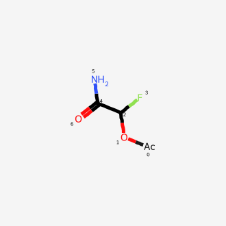 CC(=O)OC(F)C(N)=O